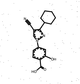 N#Cc1cn(-c2ccc(C(=O)O)c(O)c2)nc1C1CCCCC1